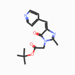 CC1=N/C(=C/c2ccncc2)C(=O)N1CC(=O)OC(C)(C)C